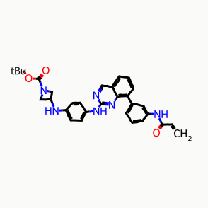 C=CC(=O)Nc1cccc(-c2cccc3cnc(Nc4ccc(NC5CN(C(=O)OC(C)(C)C)C5)cc4)nc23)c1